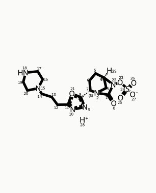 O=C1N2C[C@@H](CC[C@H]2c2nnc(CCCN3CCNCC3)o2)N1OS(=O)(=O)[O-].[H+]